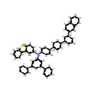 c1ccc(-c2cc(-c3ccccc3)cc(N(c3ccc(-c4ccc(-c5cccc(-c6ccc7ccccc7c6)c5)cc4)cc3)c3ccc4sc5ccccc5c4c3)c2)cc1